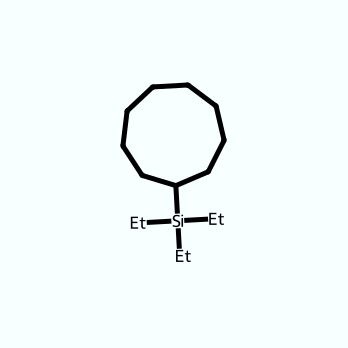 CC[Si](CC)(CC)C1CCCCCCCC1